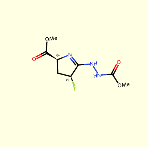 COC(=O)NNC1=N[C@H](C(=O)OC)C[C@@H]1F